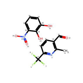 Cc1nc(C(F)(F)F)ccc1C=O.O=[N+]([O-])c1cccc(O)c1O